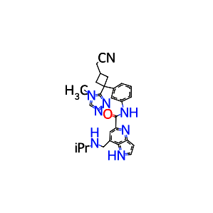 CC(C)NCc1cc(C(=O)Nc2cccc(C3(c4nncn4C)CC(CC#N)C3)c2)nc2cc[nH]c12